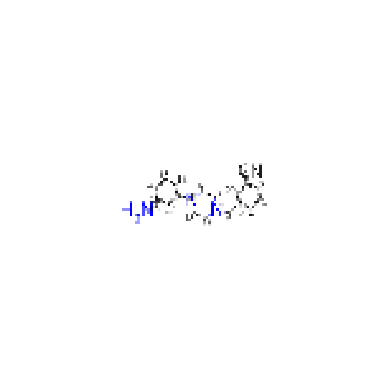 N#Cc1cccc(CN2CCN(c3cccc(N)c3)CC2)c1